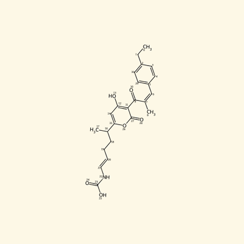 CCc1ccc(C=C(C)C(=O)c2c(O)cc(C(C)CCC=CNC(=O)O)oc2=O)cc1